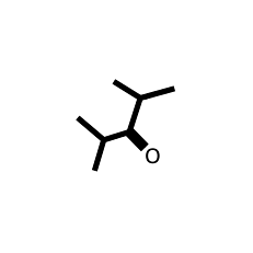 C[C](C)C(=O)C(C)C